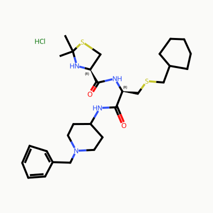 CC1(C)N[C@H](C(=O)N[C@@H](CSCC2CCCCC2)C(=O)NC2CCN(Cc3ccccc3)CC2)CS1.Cl